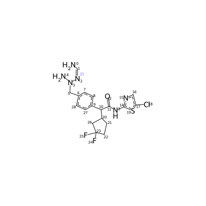 N/C=N\N(N)Cc1ccc(C(C(=O)Nc2ncc(Cl)s2)C2CCC(F)(F)C2)cc1